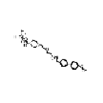 COc1ccc(-c2ccc(CNOCCOCCN3CCN(C(=O)OC(C)(C)C)CC3)cc2)cc1